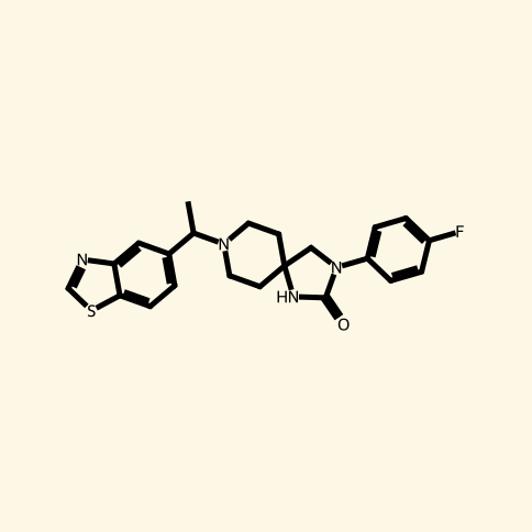 CC(c1ccc2scnc2c1)N1CCC2(CC1)CN(c1ccc(F)cc1)C(=O)N2